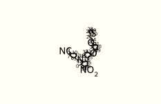 Cc1c(N(Cc2ccc(C#N)cc2)Cc2ccc(Oc3cccc(OCCc4cccs4)c3)cc2)cccc1[N+](=O)[O-]